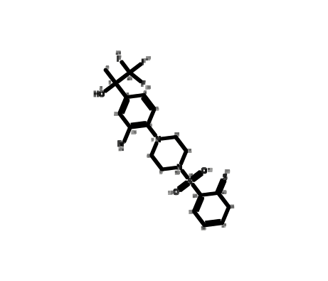 CC(O)(c1ccc(N2CCN(S(=O)(=O)C3=CC=CCC3=S)CC2)c(Br)c1)C(F)(F)F